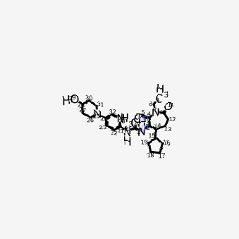 C=C(/N=C1\C(=C/C)N(CC)C(=O)CCC1C1CCCC1)Nc1ccc(N2CCC(O)CC2)cn1